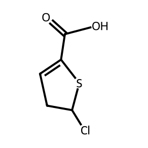 O=C(O)C1=CCC(Cl)S1